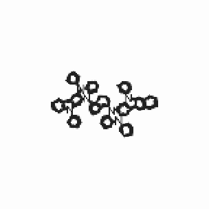 c1ccc(N2c3ccccc3N(c3cccc4c(N5c6ccccc6N(c6ccccc6)c6cc7c8cc9ccccc9cc8n(-c8ccccc8)c7cc65)cccc34)c3cc4c(cc32)c2ccccc2n4-c2ccccc2)cc1